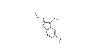 CCC/C=C1\Sc2ccc(OC)cc2N1CC